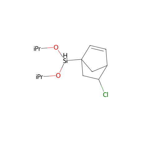 CC(C)O[SiH](OC(C)C)C12C=CC(C1)C(Cl)C2